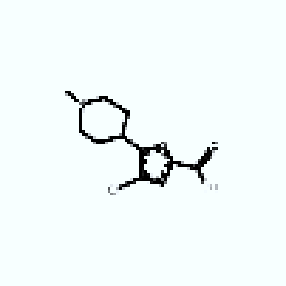 CN1CCC(c2sc(C(=O)O)cc2Cl)CC1